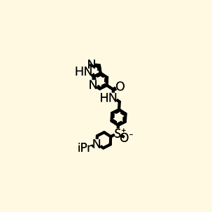 CC(C)N1CCC([S+]([O-])c2ccc(CNC(=O)c3cnc4[nH]ncc4c3)cc2)CC1